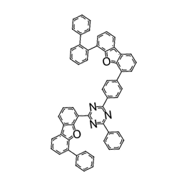 c1ccc(-c2nc(-c3ccc(-c4cccc5c4oc4c(-c6ccccc6-c6ccccc6)cccc45)cc3)nc(-c3cccc4c3oc3c(-c5ccccc5)cccc34)n2)cc1